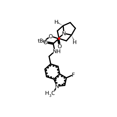 Cn1cc(F)c2cc(CNC(=O)C3C[C@H]4CC[C@@H](C3)N4C(=O)OC(C)(C)C)ccc21